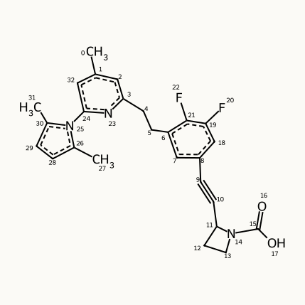 Cc1cc(CCc2cc(C#CC3CCN3C(=O)O)cc(F)c2F)nc(-n2c(C)ccc2C)c1